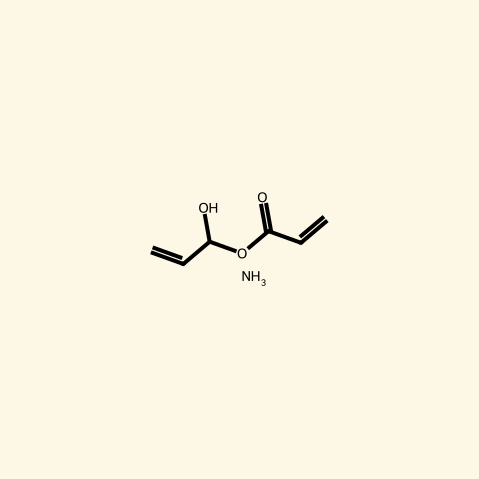 C=CC(=O)OC(O)C=C.N